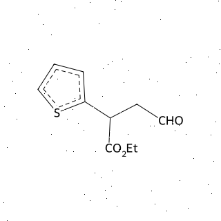 CCOC(=O)C(CC=O)c1cccs1